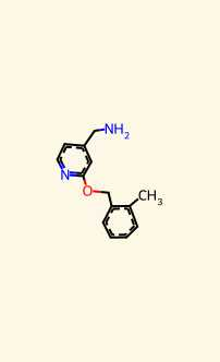 Cc1ccccc1COc1cc(CN)ccn1